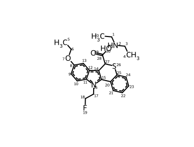 CCNCC.CCOc1ccc2c(c1)c1c(n2CCF)-c2ccccc2SC1C(=O)O